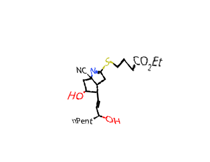 CCCCC[C@H](O)C=CC1C(O)CC2(C#N)N=C(SCCCC(=O)OCC)CC12